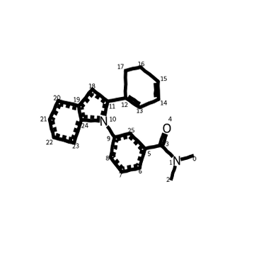 CN(C)C(=O)c1cccc(-n2c(C3=CC=CCC3)cc3ccccc32)c1